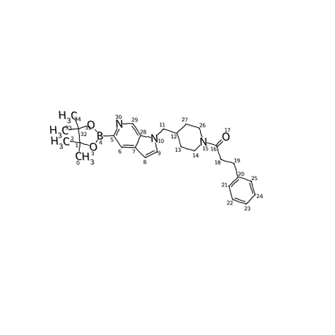 CC1(C)OB(c2cc3ccn(CC4CCN(C(=O)CCc5ccccc5)CC4)c3cn2)OC1(C)C